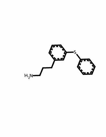 NCCCc1cccc(Sc2ccccc2)c1